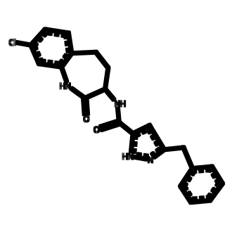 O=C(NC1CCc2ccc(Cl)cc2NC1=O)c1cc(Cc2ccccc2)n[nH]1